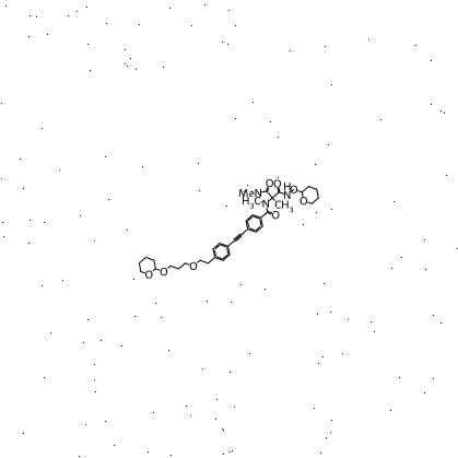 CNC(=O)C(C)(C(=O)NOC1CCCCO1)N(C)C(=O)c1ccc(C#Cc2ccc(CCOCCCOC3CCCCO3)cc2)cc1